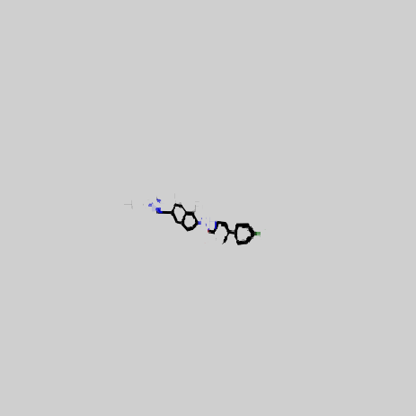 CCc1c(NC(=O)c2ccc(-c3ccc(Cl)cc3)cc2)ccc2c1CCC(CN(C)C)=C2